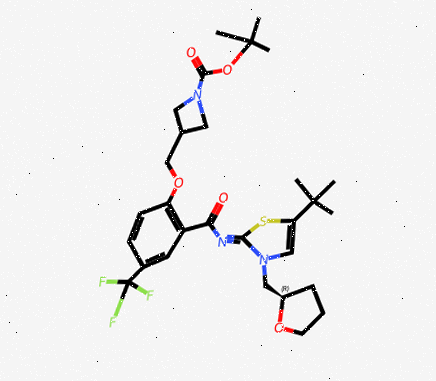 CC(C)(C)OC(=O)N1CC(COc2ccc(C(F)(F)F)cc2C(=O)N=c2sc(C(C)(C)C)cn2C[C@H]2CCCO2)C1